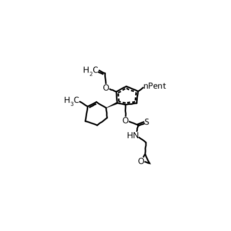 C=COc1cc(CCCCC)cc(OC(=S)NCC2CO2)c1[C@@H]1C=C(C)CCC1